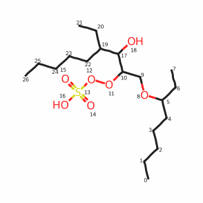 CCCCCC(CC)OCC(OOS(=O)(=O)O)C(O)C(CC)CCCCC